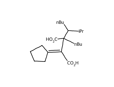 CCCCC(C(C)C)C(CCCC)(C(=O)O)C(C(=O)O)=C1CCCC1